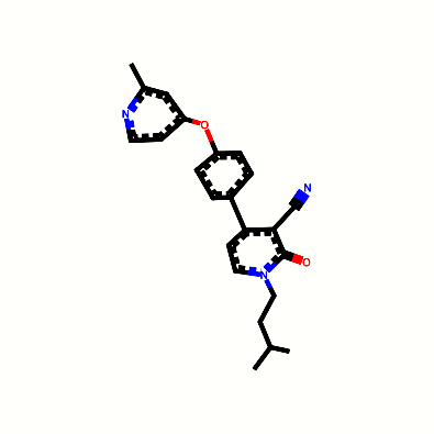 Cc1cc(Oc2ccc(-c3ccn(CCC(C)C)c(=O)c3C#N)cc2)ccn1